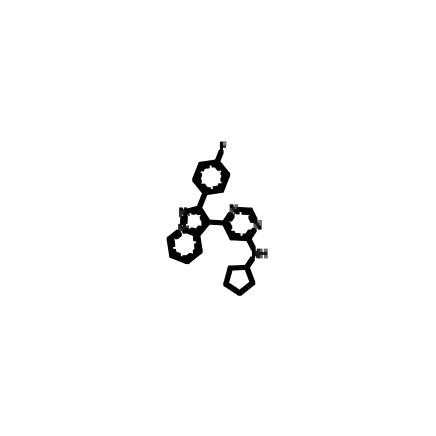 Fc1ccc(-c2nn3ccccc3c2-c2cc(NC3CCCC3)ncn2)cc1